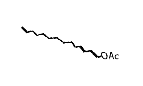 C=CCCCCCCCCC=CC=COC(C)=O